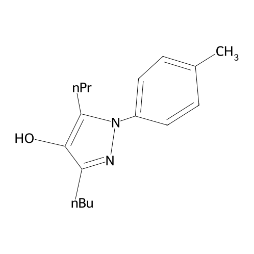 CCCCc1nn(-c2ccc(C)cc2)c(CCC)c1O